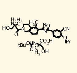 CC(C)(C)OC(=O)N[C@@](C)(CO)C(=O)O.Cc1c(-c2noc(-c3ccc(OC(C)C)c(C#N)c3)n2)ccc2c1CCN(C(=O)[C@@](C)(N)CO)C2